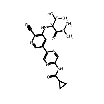 C[C@H](O)[C@H](Nc1cc(-c2cnc(NC(=O)C3CC3)cn2)cnc1C#N)C(=O)N(C)C